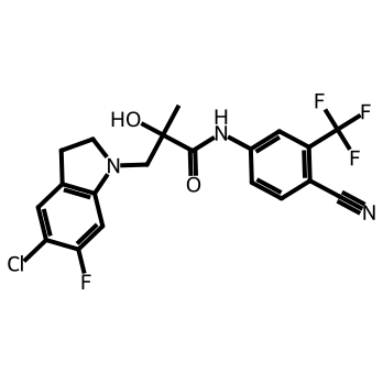 CC(O)(CN1CCc2cc(Cl)c(F)cc21)C(=O)Nc1ccc(C#N)c(C(F)(F)F)c1